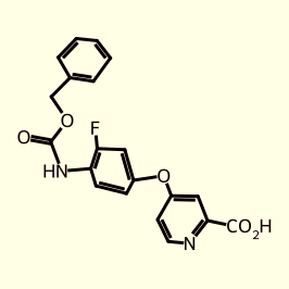 O=C(Nc1ccc(Oc2ccnc(C(=O)O)c2)cc1F)OCc1ccccc1